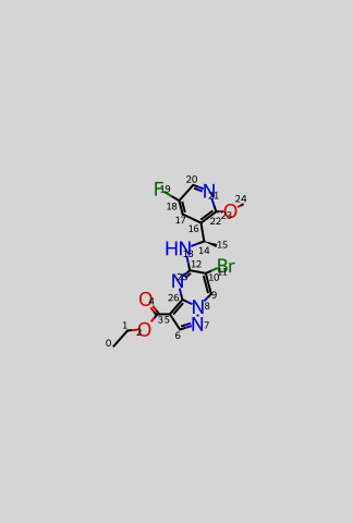 CCOC(=O)c1cnn2cc(Br)c(N[C@H](C)c3cc(F)cnc3OC)nc12